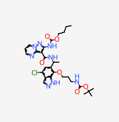 CCCCOC(=O)Nc1nn2cccnc2c1C(=O)NC(C)c1cc(Cl)c2cn[nH]c2c1OCCCNC(=O)OC(C)(C)C